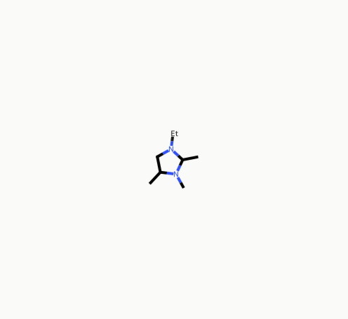 CCN1CC(C)N(C)C1C